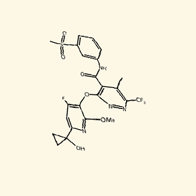 COc1nc(C2(O)CC2)cc(F)c1Oc1nnc(C(F)(F)F)c(C)c1C(=O)Nc1cccc(S(C)(=O)=O)c1